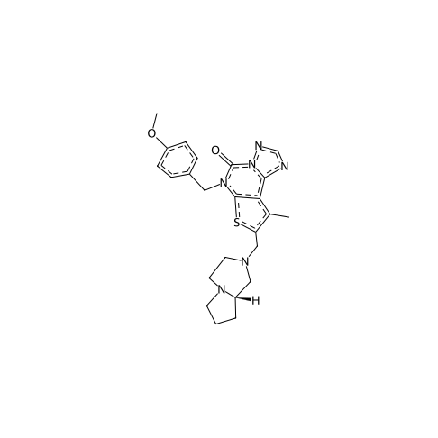 COc1ccc(Cn2c(=O)n3ncnc3c3c(C)c(CN4CCN5CCC[C@H]5C4)sc32)cc1